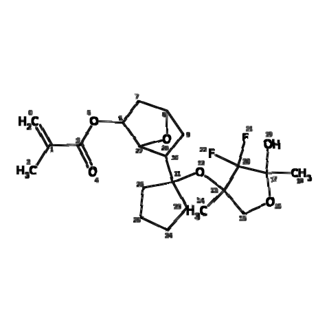 C=C(C)C(=O)OC1CC2CC(C3(OC4(C)COC(C)(O)C4(F)F)CCCC3)C1O2